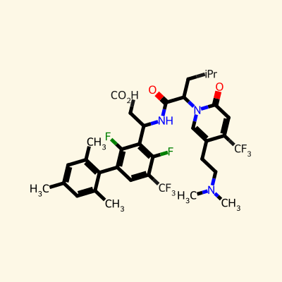 Cc1cc(C)c(-c2cc(C(F)(F)F)c(F)c(C(CC(=O)O)NC(=O)C(CC(C)C)n3cc(CCN(C)C)c(C(F)(F)F)cc3=O)c2F)c(C)c1